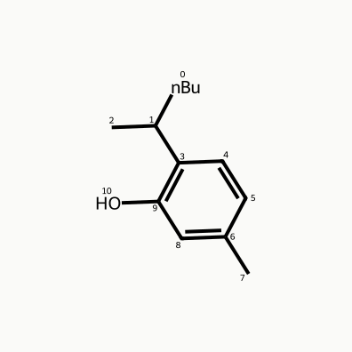 CCCCC(C)c1ccc(C)cc1O